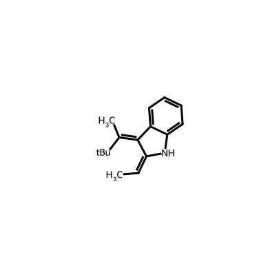 C/C=c1/[nH]c2ccccc2/c1=C(\C)C(C)(C)C